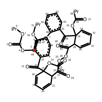 CC(C)OC(=O)Oc1ccccc1C(=O)C1(OC(=O)C(C)C)C=CC=CC1C(=O)OOC(=O)C1C=CC=CC1(OC(=O)C(C)C)C(=O)c1ccccc1OC(=O)OC(C)C